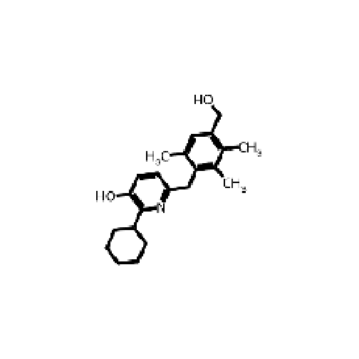 Cc1cc(CO)c(C)c(C)c1Cc1ccc(O)c(C2CCCCC2)n1